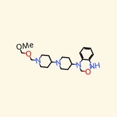 COCOCN1CCC(N2CCC(N3CONc4ccccc43)CC2)CC1